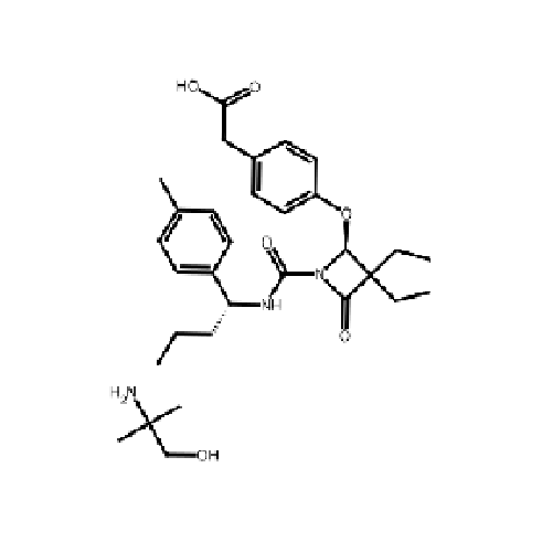 CC(C)(N)CO.CCC[C@@H](NC(=O)N1C(=O)C(CC)(CC)[C@@H]1Oc1ccc(CC(=O)O)cc1)c1ccc(C)cc1